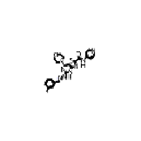 Cc1cccc(/C=N/Nc2nc(N3CCOCC3)c3sc(C(=O)Nc4ccncc4)nc3n2)c1